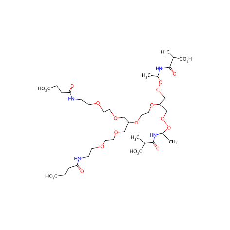 CC(NC(=O)C(C)C(=O)O)OOCC(COOC(C)NC(=O)C(C)C(=O)O)OCCOC(COCCOCCNC(=O)CCC(=O)O)COCCOCCNC(=O)CCC(=O)O